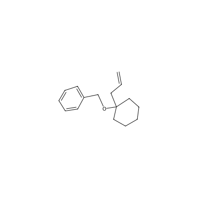 C=CCC1(OCc2ccccc2)CCCCC1